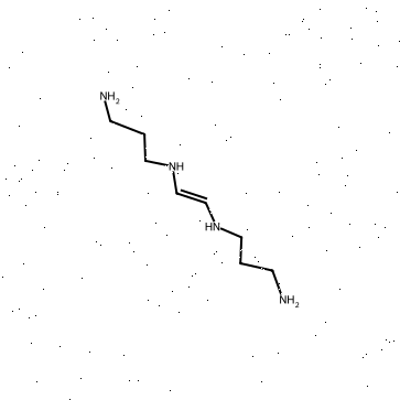 NCCCNC=CNCCCN